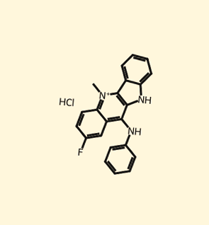 C[n+]1c2ccc(F)cc2c(Nc2ccccc2)c2[nH]c3ccccc3c21.Cl